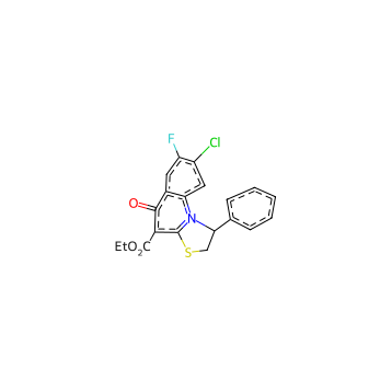 CCOC(=O)c1c2n(c3cc(Cl)c(F)cc3c1=O)C(c1ccccc1)CS2